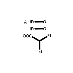 CC(C)[O-].CC(C)[O-].CCC(CC)C(=O)[O-].[Al+3]